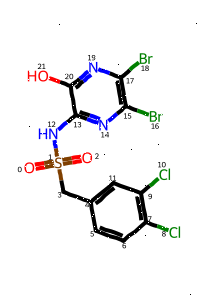 O=S(=O)(Cc1ccc(Cl)c(Cl)c1)Nc1nc(Br)c(Br)nc1O